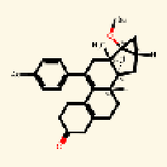 CCCCO[C@@]12C[C@@H]1C[C@H]1[C@@H]3CCC4=C(CCC(=O)C4)C3=C(c3ccc(C(C)=O)cc3)C[C@@]12C